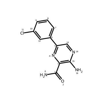 NC(=O)c1nc(-c2cccc(Cl)c2)cnc1N